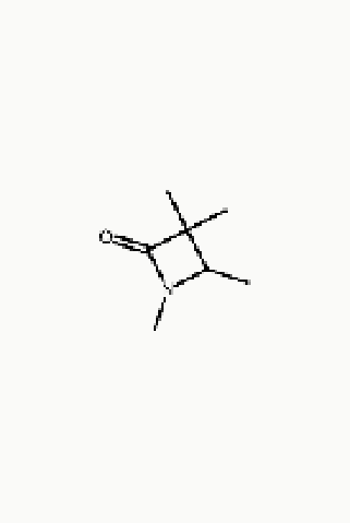 CC1N(C)C(=O)C1(C)C